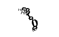 C1=CC2=CCC3C=C(C4=CC=C(C5=CC6=C(CC5)COOC6)CC4)CNC3C2NC1